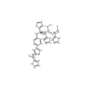 C1=CCC([SiH2]Oc2ccccc2)=C1.CCO[SiH2]C1=CC=CC1.CO[SiH2]C1=CC=CC1.C[SiH](C1=CC=CC1)C1=CC=CC1